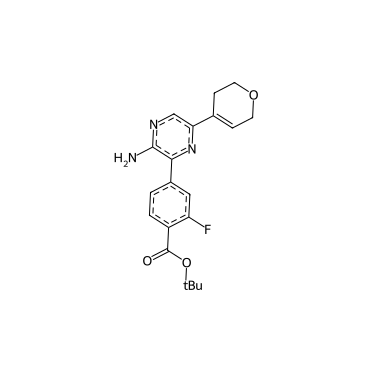 CC(C)(C)OC(=O)c1ccc(-c2nc(C3=CCOCC3)cnc2N)cc1F